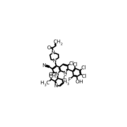 C=CC(=O)N1CCN(c2c(C#N)c(=O)n(C3C(C(C)C)=NC=C[C@H]3C)c3nc(-c4c(F)c(O)c(Cl)c(Cl)c4Cl)c(Cl)cc23)CC1